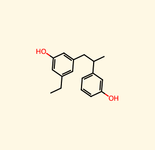 CCc1cc(O)cc(CC(C)c2cccc(O)c2)c1